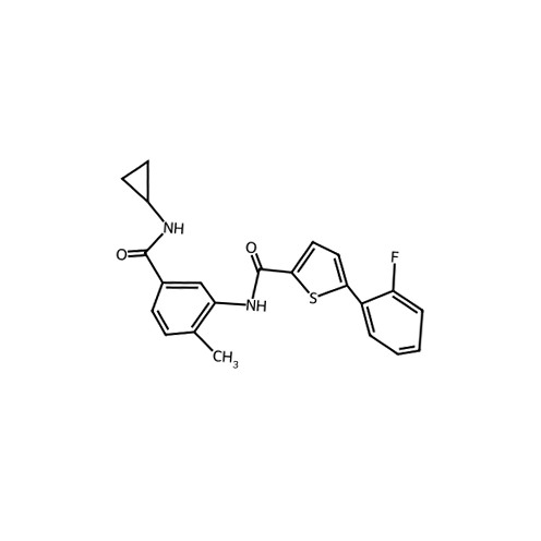 Cc1ccc(C(=O)NC2CC2)cc1NC(=O)c1ccc(-c2ccccc2F)s1